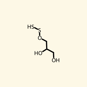 OCC(O)COSS